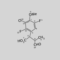 COc1c(F)cc(C(C(=O)O)C(C)C=O)c(F)c1Cl